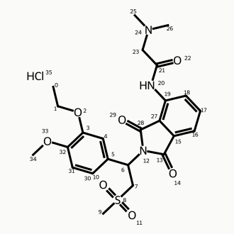 CCOc1cc(C(CS(C)(=O)=O)N2C(=O)c3cccc(NC(=O)CN(C)C)c3C2=O)ccc1OC.Cl